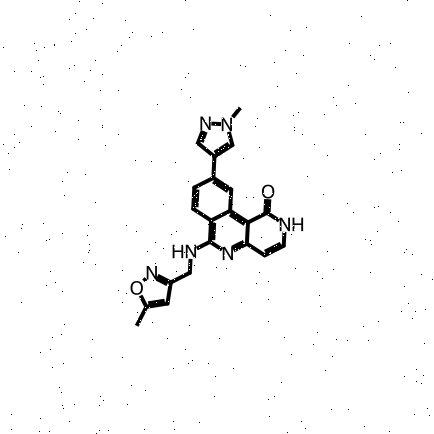 Cc1cc(CNc2nc3cc[nH]c(=O)c3c3cc(-c4cnn(C)c4)ccc23)no1